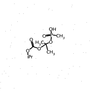 CC(C)OC(=O)OC(C)(C)OP(C)(=O)O